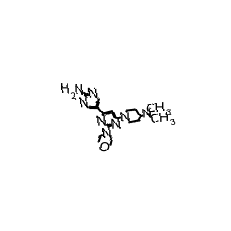 CN(C)C1CCN(c2cc(-c3cnc(N)nc3)nc(N3CCOCC3)n2)CC1